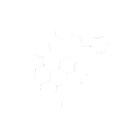 CCOC(=O)C1=C(C)Nc2snc(CCN(C)CCc3nc4ccccc4s3)c2C1c1cccc([N+](=O)[O-])c1